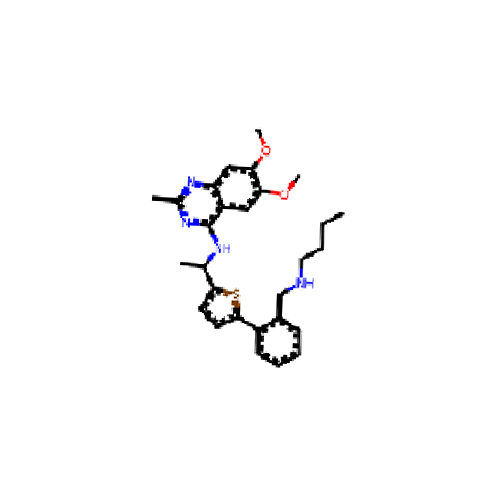 CCCCNCc1ccccc1-c1ccc(C(C)Nc2nc(C)nc3cc(OC)c(OC)cc23)s1